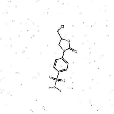 O=C1OC(CCl)CN1c1ccc(S(=O)(=O)C(F)F)cc1